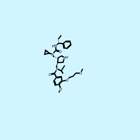 CC[C@@H](NC(=O)N(C[C@@H]1CNC[C@H]1CN(C(=O)c1ccc(OC)c(OCCCOC)c1)C(C)C)C1CC1)c1ccccc1